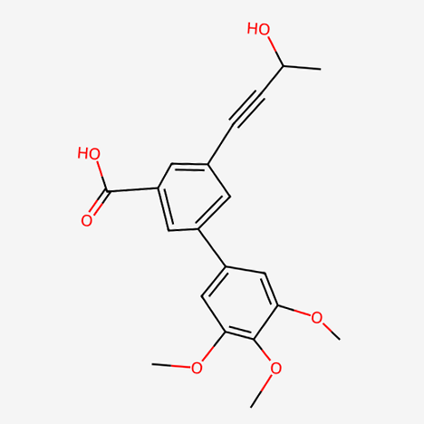 COc1cc(-c2cc(C#CC(C)O)cc(C(=O)O)c2)cc(OC)c1OC